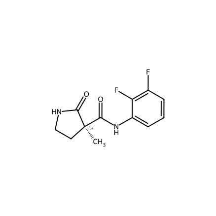 C[C@]1(C(=O)Nc2cccc(F)c2F)CCNC1=O